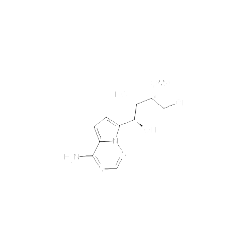 CO[C@H](CO)[C@@H](O)[C@@H](O)c1ccc2c(N)ncnn12